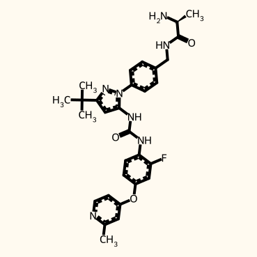 Cc1cc(Oc2ccc(NC(=O)Nc3cc(C(C)(C)C)nn3-c3ccc(CNC(=O)[C@H](C)N)cc3)c(F)c2)ccn1